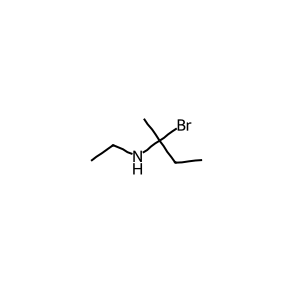 CCNC(C)(Br)CC